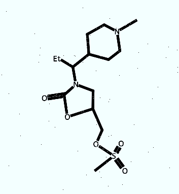 CCC(C1CCN(C)CC1)N1CC(COS(C)(=O)=O)OC1=O